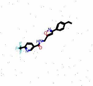 CCc1ccc(-c2cc(CNC(=O)c3ccc(C(F)(F)F)nc3)on2)cc1